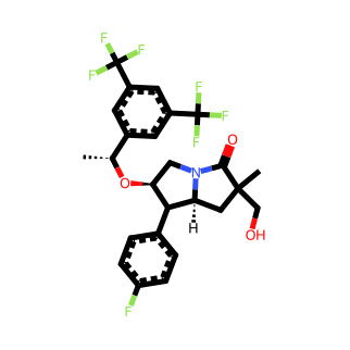 C[C@@H](O[C@H]1CN2C(=O)C(C)(CO)C[C@H]2C1c1ccc(F)cc1)c1cc(C(F)(F)F)cc(C(F)(F)F)c1